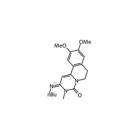 CCCC/N=c1/cc2n(c(=O)n1C)CCc1cc(OC)c(OC)cc1-2